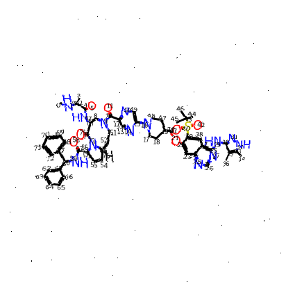 CN[C@@H](C)C(=O)N[C@H]1CN(C(=O)c2cnc(N3CCC(COc4cc5ncnc(Nc6n[nH]c(C)c6C)c5cc4S(=O)(=O)C(C)(C)C)CC3)cn2)CC[C@H]2CC[C@@H](C(=O)NC(c3ccccc3)c3ccccc3)N2C1=O